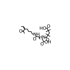 C/C=C(/CCCCNC(=O)CC[C@H](NC(=O)C(C)(C)CC(C)(C)C(=O)O)C(=O)O)C(C)=O